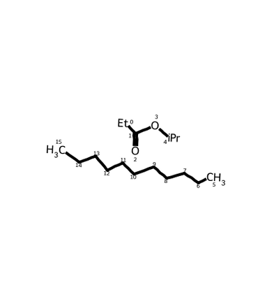 CCC(=O)OC(C)C.CCCCCCCCCCC